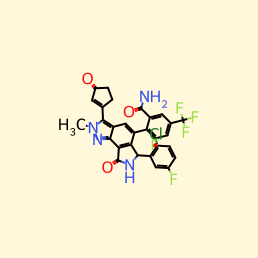 Cn1nc2c3c(c(-c4c(F)cc(C(F)(F)F)cc4C(N)=O)cc2c1C1=CC(=O)CC1)C(c1cc(F)ccc1Cl)NC3=O